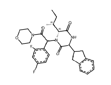 CC[C@@H](C)[C@@H]1C(=O)NC(C2Cc3ccccc3C2)C(=O)N1C(C(=O)N1CCOCC1)c1ccc(F)cc1F